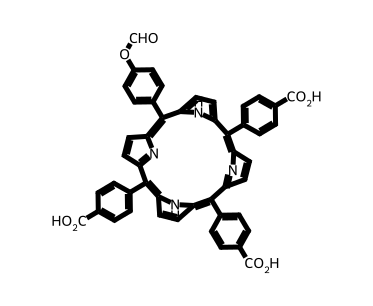 O=COc1ccc(-c2c3nc(c(-c4ccc(C(=O)O)cc4)c4ccc([nH]4)c(-c4ccc(C(=O)O)cc4)c4nc(c(-c5ccc(C(=O)O)cc5)c5ccc2[nH]5)C=C4)C=C3)cc1